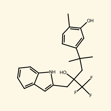 Cc1ccc(C(C)(C)CC(O)(Cc2cc3ccccc3[nH]2)C(F)(F)F)cc1O